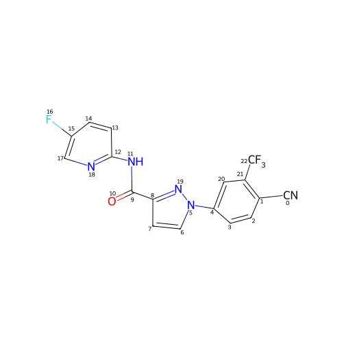 N#Cc1ccc(-n2ccc(C(=O)Nc3ccc(F)cn3)n2)cc1C(F)(F)F